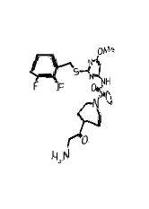 COc1cc(NS(=O)(=O)N2CCC(C(=O)CN)CC2)nc(SCc2cccc(F)c2F)n1